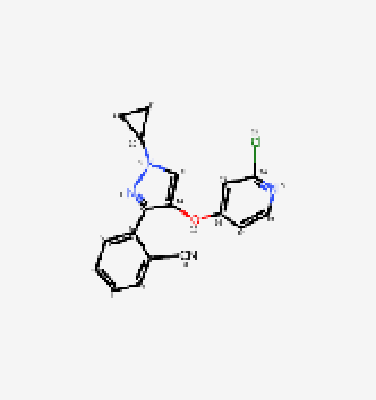 N#Cc1ccccc1-c1nn(C2CC2)cc1Oc1ccnc(Cl)c1